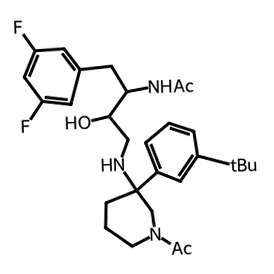 CC(=O)NC(Cc1cc(F)cc(F)c1)C(O)CNC1(c2cccc(C(C)(C)C)c2)CCCN(C(C)=O)C1